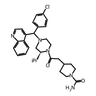 CC(C)[C@H]1CN(C(c2ccc(Cl)cc2)c2ccnc3ccccc23)CCN1C(=O)CC1CCN(C(N)=O)CC1